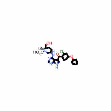 CC(C)(C)C1(CO)CCC(Nc2ncnc3[nH]cc(C(=O)c4ccc(Oc5ccccc5)cc4Cl)c23)CN1C(=O)O